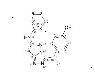 C[C@@H](c1ccc(O)cc1)c1nnc2sc(NC3CC4CCC3C4)nn12